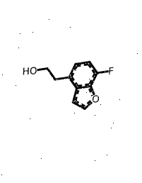 OCCc1ccc(F)c2occc12